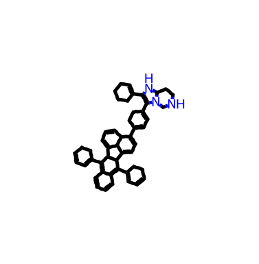 C1=CCCC(C2=c3ccccc3=C(C3=CC=CCC3)C3C4=CC=C(C5=CC=C(C6=C(C7=CCCCC7)NC7CCNCN67)CC5)C5C=CC=C(C45)C23)=C1